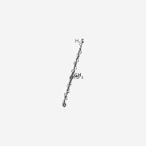 CC(=O)O.CCCCCCCCCOCCOCCOCCOCCOCCOCCOCCOCCOCCOCCOCCOCCOCCOc1ccccc1